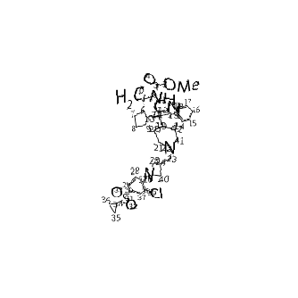 C=C(NC(=O)OC)[C@H]1CCC[C@@H]1C(C#N)(c1ccccc1)C1CCN(CC2CN(c3ccc(S(=O)(=O)C4CC4)cc3Cl)C2)CC1